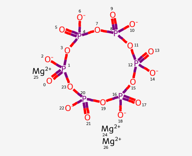 O=P1([O-])OP(=O)([O-])OP(=O)([O-])OP(=O)([O-])OP(=O)([O-])OP(=O)([O-])O1.[Mg+2].[Mg+2].[Mg+2]